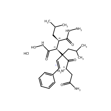 CC(C)C[C@@H](C(=O)NN)[C@H](C(=O)NO)C(/C=C/c1ccccc1)(CC(C)C)C(=O)[C@@H](N)CC(N)=O.Cl